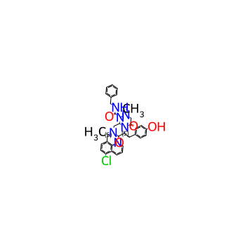 C[C@@H](c1ccc(Cl)c2cccnc12)N1CC2N(C(=O)CN(C)N2C(=O)NCc2ccccc2)[C@@H](Cc2ccc(O)cc2)C1=O